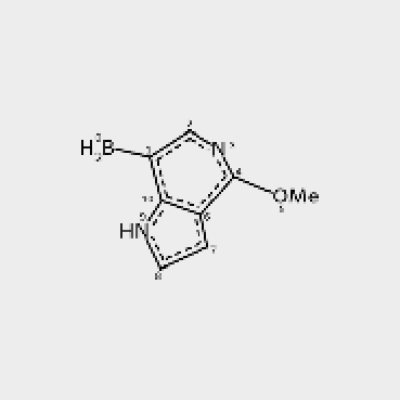 Bc1cnc(OC)c2cc[nH]c12